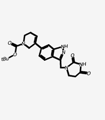 CC(C)(C)OC(=O)N1CCC=C(c2ccc3c(CN4CCC(=O)NC4=O)n[nH]c3c2)C1